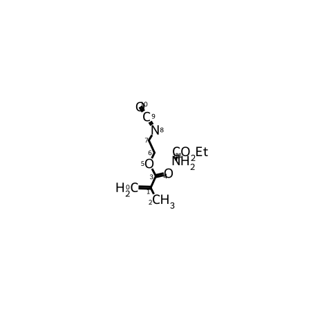 C=C(C)C(=O)OCCN=C=O.CCOC(N)=O